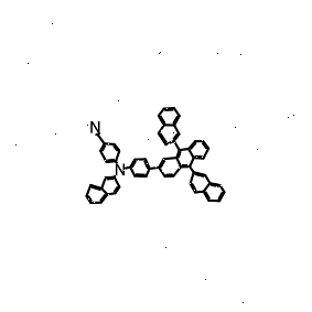 N#Cc1ccc(N(c2ccc(-c3ccc4c(-c5ccc6ccccc6c5)c5ccccc5c(-c5ccc6ccccc6c5)c4c3)cc2)c2ccc3ccccc3c2)cc1